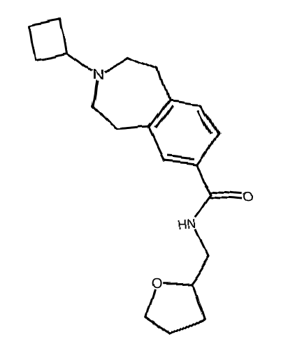 O=C(NCC1CCCO1)c1ccc2c(c1)CCN(C1CCC1)CC2